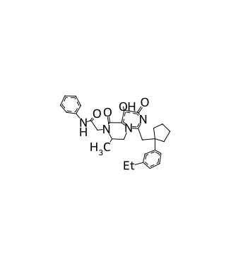 CCc1cccc(C2(Cc3nc(=O)c(O)c4n3CC(C)N(CC(=O)Nc3ccccc3)C4=O)CCCC2)c1